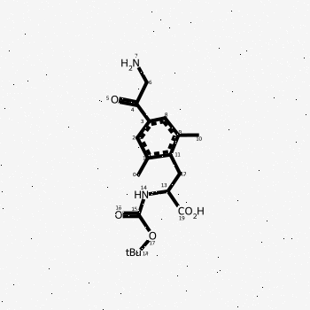 Cc1cc(C(=O)CN)cc(C)c1CC(NC(=O)OC(C)(C)C)C(=O)O